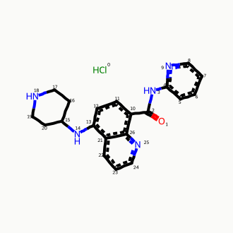 Cl.O=C(Nc1ccccn1)c1ccc(NC2CCNCC2)c2cccnc12